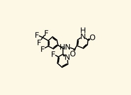 O=C(NC(c1ccc(C(F)(F)F)c(F)c1)c1ncccc1F)c1ccc(=O)[nH]c1